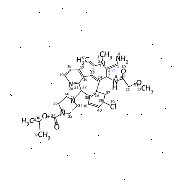 C=CN(C)/C(=C\N)C(NC(=O)COC)C1=Cc2cccnc2C(N2CCN(C(=O)OC(C)C)CC2)C2=C1CC(Cl)C=C2